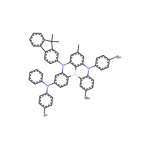 Cc1cc2c3c(c1)N(c1ccc4c(c1)C(C)(C)c1ccccc1-4)c1cc(N(c4ccccc4)c4ccc(C(C)C)cc4)ccc1B3c1cc(C(C)(C)C)ccc1N2c1ccc(C(C)(C)C)cc1